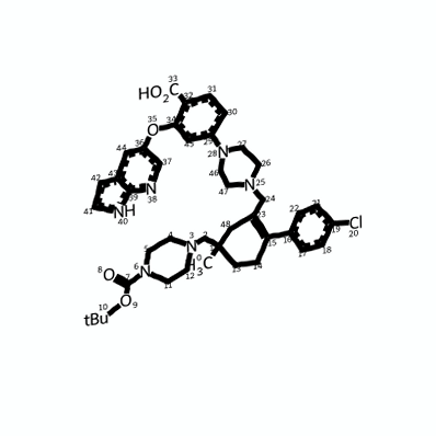 CC1(CN2CCN(C(=O)OC(C)(C)C)CC2)CCC(c2ccc(Cl)cc2)=C(CN2CCN(c3ccc(C(=O)O)c(Oc4cnc5[nH]ccc5c4)c3)CC2)C1